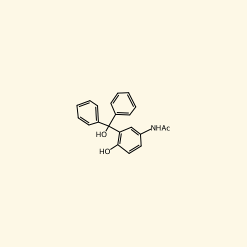 CC(=O)Nc1ccc(O)c(C(O)(c2ccccc2)c2ccccc2)c1